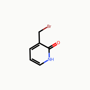 O=c1[nH]cccc1CBr